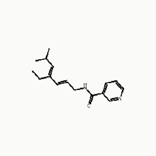 CCC(C=CCNC(=O)c1cccnc1)=CC(C)C